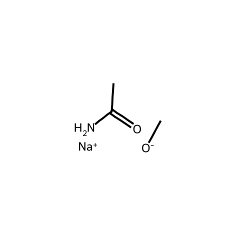 CC(N)=O.C[O-].[Na+]